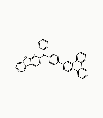 c1ccc(N(c2ccc(-c3ccc4c5ccccc5c5ccccc5c4c3)cc2)c2ccc3c(n2)oc2ccccc23)cc1